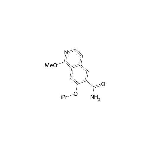 COc1nccc2cc(C(N)=O)c(OC(C)C)cc12